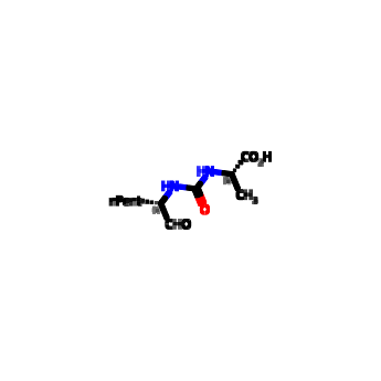 CCCCC[C@@H](C=O)NC(=O)N[C@@H](C)C(=O)O